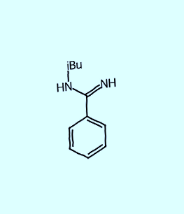 CCC(C)NC(=N)c1ccccc1